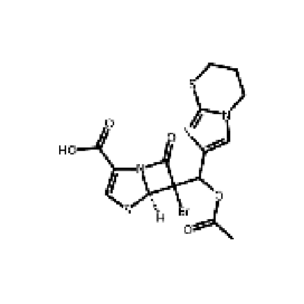 CC(=O)OC(c1cn2c(n1)SCCC2)C1(Br)C(=O)N2C(C(=O)O)=CS[C@@H]21